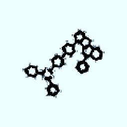 C1=CC2C(c3ccccc3)=CC3=C(Cc4cccc(-c5ccc(-c6ccc(-c7nc(-c8ccccc8)nc(-c8ccccc8)n7)cc6)cc5)c43)C2C=C1